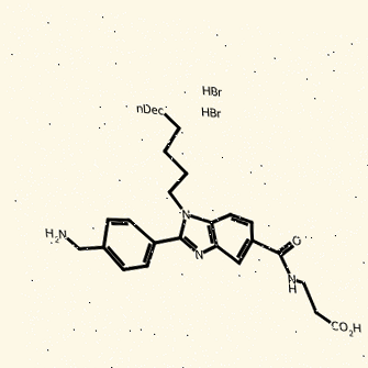 Br.Br.CCCCCCCCCCCCCCn1c(-c2ccc(CN)cc2)nc2cc(C(=O)NCCC(=O)O)ccc21